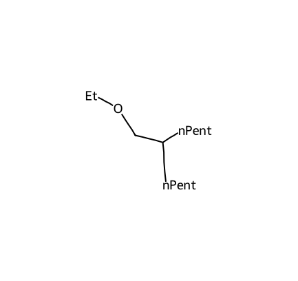 CCCCCC(CCCCC)COCC